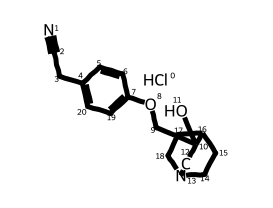 Cl.N#CCc1ccc(OCC2(O)CN3CCC2CC3)cc1